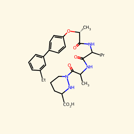 CCc1cccc(-c2ccc(O[C@H](C)C(=O)NC(C(=O)NC(C)C(=O)N3CCCC(C(=O)O)N3)C(C)C)cc2)c1